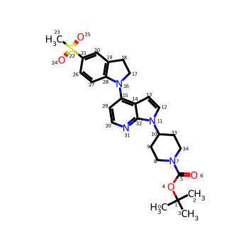 CC(C)(C)OC(=O)N1CCC(n2ccc3c(N4CCc5cc(S(C)(=O)=O)ccc54)ccnc32)CC1